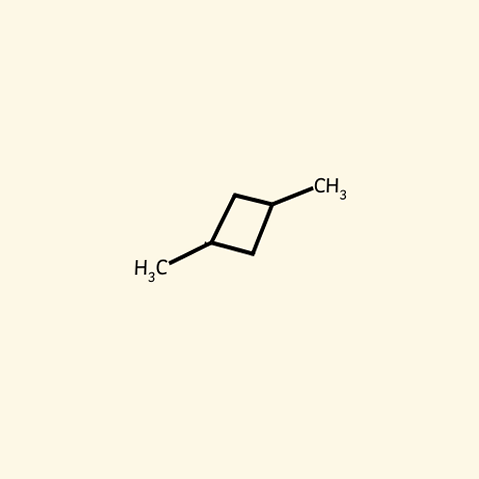 C[C]1CC(C)C1